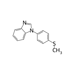 CSc1ccc(-n2cnc3ccccc32)cc1